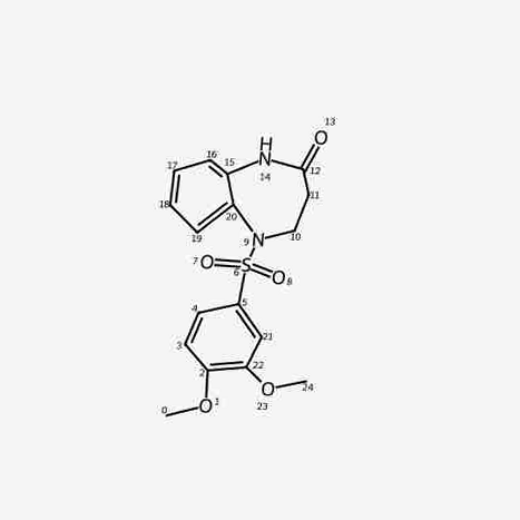 COc1ccc(S(=O)(=O)N2CCC(=O)Nc3ccccc32)cc1OC